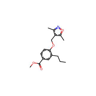 CCCc1cc(C(=O)OC)ccc1OCc1c(C)noc1C